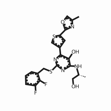 Cc1coc(-c2cc(-c3nc(SCc4cccc(F)c4F)nc(N[C@H](C)CO)c3O)cs2)n1